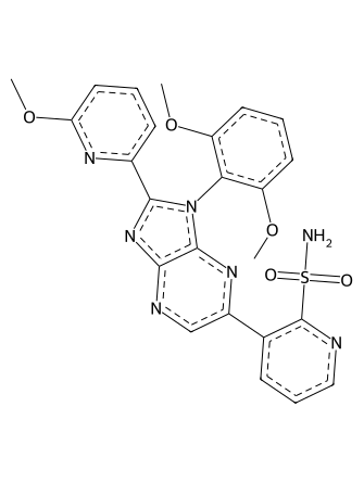 COc1cccc(-c2nc3ncc(-c4cccnc4S(N)(=O)=O)nc3n2-c2c(OC)cccc2OC)n1